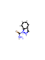 NC(=S)n1ncc2ccccc21